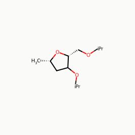 CC(C)OC[C@H]1O[C@@H](C)CC1OC(C)C